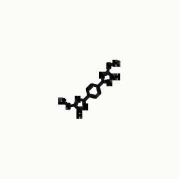 CCSc1nc(-c2ccc(-c3n[nH]c(SCC)n3)cc2)n[nH]1